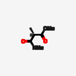 CNC(=O)[C@H](C)C(=O)OC